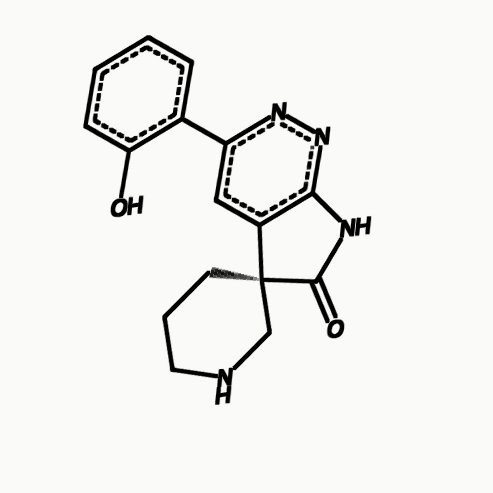 O=C1Nc2nnc(-c3ccccc3O)cc2[C@@]12CCCNC2